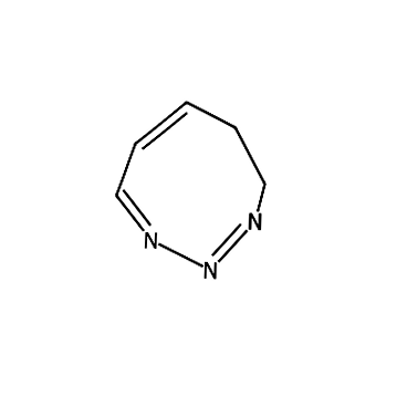 C1=CCCN=NN=C1